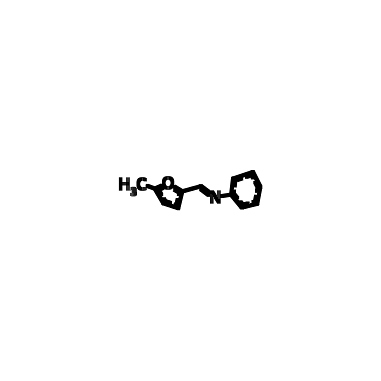 Cc1ccc(C=Nc2ccccc2)o1